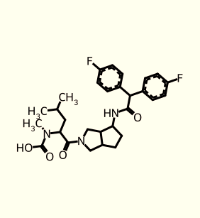 CC(C)CC(C(=O)N1CC2CCC(NC(=O)C(c3ccc(F)cc3)c3ccc(F)cc3)C2C1)N(C)C(=O)O